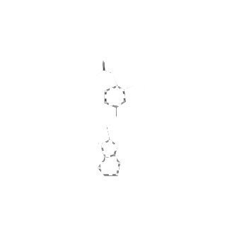 Cc1cc(OCc2nc3ccccc3s2)ccc1NC(=O)S